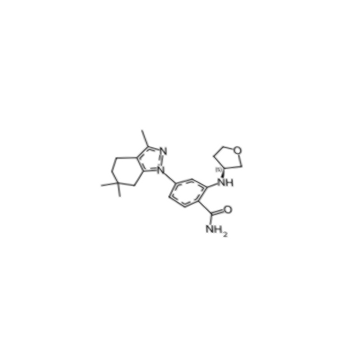 Cc1nn(-c2ccc(C(N)=O)c(N[C@H]3CCOC3)c2)c2c1CCC(C)(C)C2